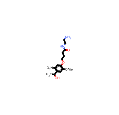 COc1cc(C(C)O)c([N+](=O)[O-])cc1OCCCC(=O)NCCN